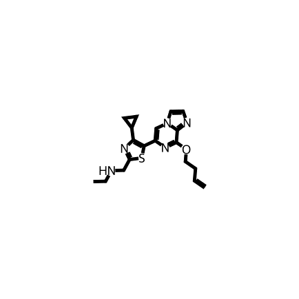 C=CCCOc1nc(-c2sc(CNCC)nc2C2CC2)cn2ccnc12